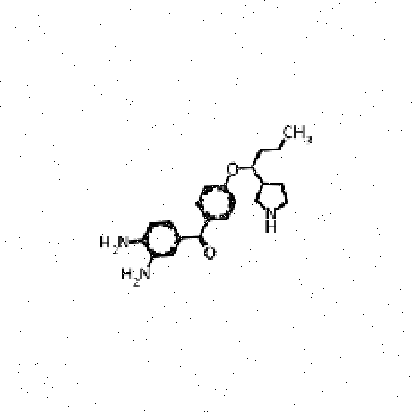 CCCC(Oc1ccc(C(=O)c2ccc(N)c(N)c2)cc1)C1CCNC1